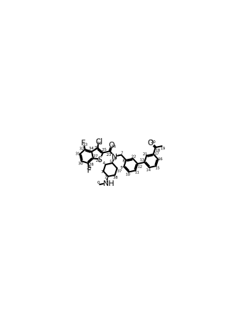 CN[C@H]1CC[C@@H](N(Cc2cccc(-c3cccc(C(C)=O)c3)c2)C(=O)c2sc3c(F)ccc(F)c3c2Cl)CC1